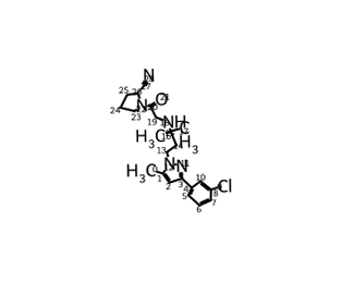 Cc1cc(-c2cccc(Cl)c2)nn1CCC(C)(C)NCC(=O)N1CCC[C@H]1C#N